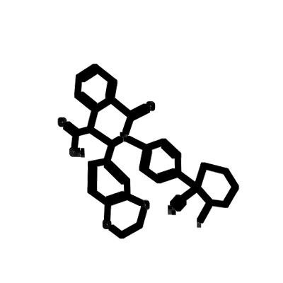 N#CC1(c2ccc(N3C(=O)c4ccccc4C(C(=O)O)C3c3ccc4c(c3)OCCO4)cc2)CCCCC1I